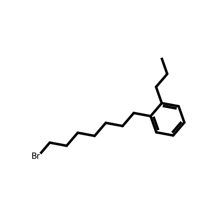 CCCc1ccccc1CCCCCCCBr